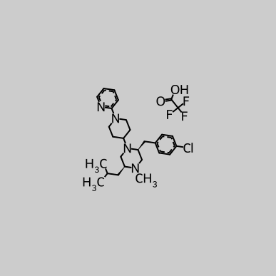 CC(C)C[C@H]1CN(C2CCN(c3ccccn3)CC2)[C@@H](Cc2ccc(Cl)cc2)CN1C.O=C(O)C(F)(F)F